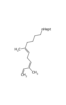 C=CC(C)=CCC=C(C)CCCCCCCCCCC